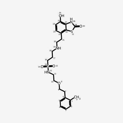 Cc1ccccc1CCOCCNS(=O)(=O)CCCNCCc1ccc(O)c2[nH]c(=O)sc12